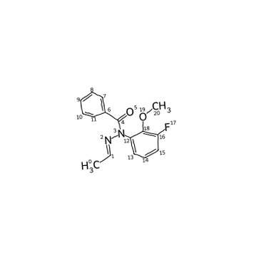 CC=NN(C(=O)c1ccccc1)c1cccc(F)c1OC